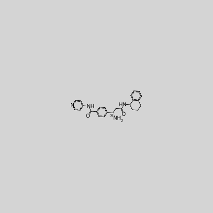 N[C@@H](CC(=O)NC1CCCc2ccccc21)c1ccc(C(=O)Nc2ccncc2)cc1